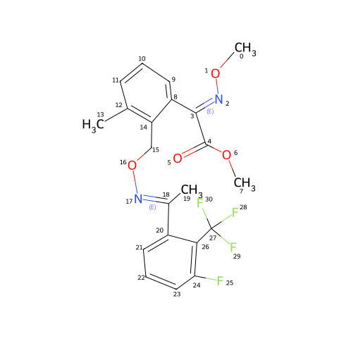 CO/N=C(/C(=O)OC)c1cccc(C)c1CO/N=C(\C)c1cccc(F)c1C(F)(F)F